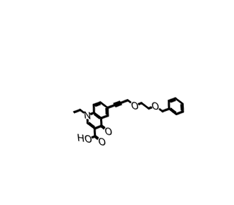 CCn1cc(C(=O)O)c(=O)c2cc(C#CCOCCOCc3ccccc3)ccc21